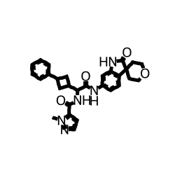 Cn1nccc1C(=O)NC(C(=O)Nc1ccc2c(c1)NC(=O)C21CCOCC1)C1CC(c2ccccc2)C1